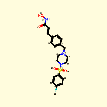 O=C(/C=C/c1ccc(CN2CCN(S(=O)(=O)c3ccc(F)cc3)CC2)cc1)NO